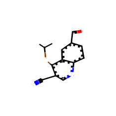 CC(C)Sc1c(C#N)cnc2ccc(C=O)cc12